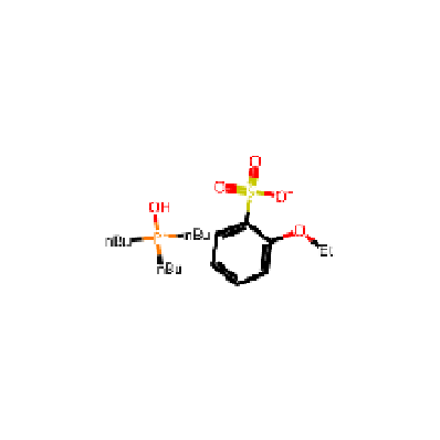 CCCC[P+](O)(CCCC)CCCC.CCOc1ccccc1S(=O)(=O)[O-]